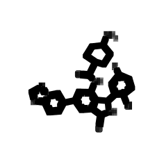 NC1CCC(C(=O)Nc2cc(-c3ccc4ncnn4c3)cc3c2C(c2cc(F)ccc2Cl)NC3=O)CC1